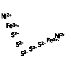 [Fe+3].[Fe+3].[Ni+2].[Ni+2].[S-2].[S-2].[S-2].[S-2].[S-2]